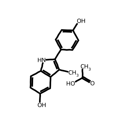 CC(=O)O.Cc1c(-c2ccc(O)cc2)[nH]c2ccc(O)cc12